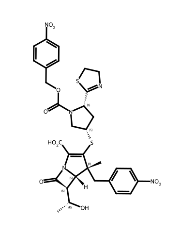 C[C@@H](O)[C@H]1C(=O)N2C(C(=O)O)=C(S[C@H]3C[C@@H](C4=NCCS4)N(C(=O)OCc4ccc([N+](=O)[O-])cc4)C3)[C@](C)(Cc3ccc([N+](=O)[O-])cc3)[C@H]12